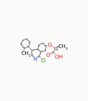 Cc1ccccc1-c1cnc(Cl)c2cc(O[C@@H](C)C(=O)O)ccc12